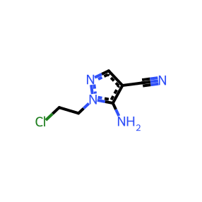 N#Cc1cnn(CCCl)c1N